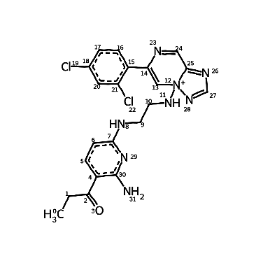 CCC(=O)c1ccc(NCCN[N+]23C=C(c4ccc(Cl)cc4Cl)N=CC2=NC=N3)nc1N